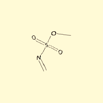 C=NS(=O)(=O)OC